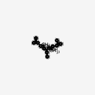 CC1(C)c2cc(-c3ccc4c(c3)c3ccccc3n4-c3ccccc3)ccc2-c2ccc(N(c3ccc(-c4ccccc4)cc3)c3ccc4c(c3)C(C)(C)c3cc(-c5ccc6c7ccccc7n(-c7ccccc7)c6c5)ccc3-4)cc21